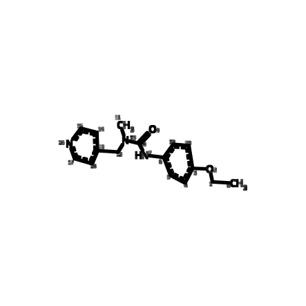 CCOc1ccc(NC(=O)N(C)Cc2ccncc2)cc1